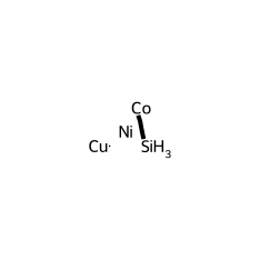 [Cu].[Ni].[SiH3][Co]